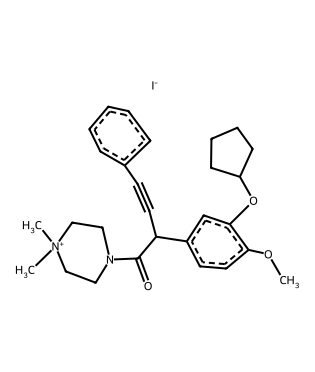 COc1ccc(C(C#Cc2ccccc2)C(=O)N2CC[N+](C)(C)CC2)cc1OC1CCCC1.[I-]